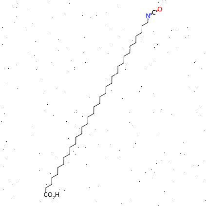 O=C=NCCCCCCCCCCCCCCCCCCCCCCCCCCCCCCCCCCC(=O)O